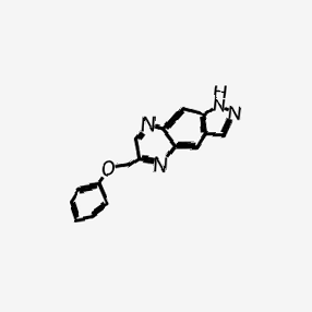 c1ccc(OCc2cnc3cc4[nH]ncc4cc3n2)cc1